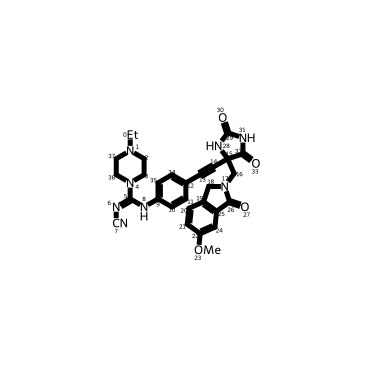 CCN1CCN(/C(=N/C#N)Nc2ccc(C#CC3(CN4Cc5ccc(OC)cc5C4=O)NC(=O)NC3=O)cc2)CC1